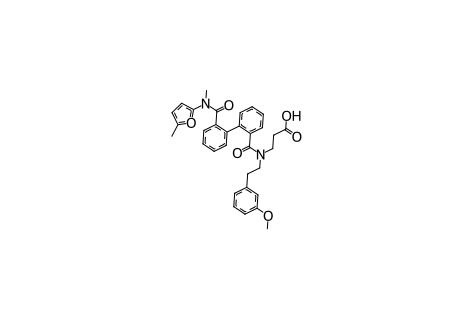 COc1cccc(CCN(CCC(=O)O)C(=O)c2ccccc2-c2ccccc2C(=O)N(C)c2ccc(C)o2)c1